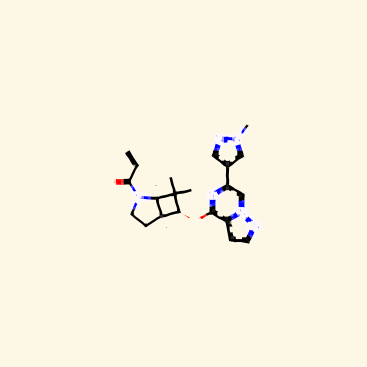 C=CC(=O)N1CC[C@@H]2[C@H](Oc3nc(-c4cnn(C)c4)cn4nccc34)C(C)(C)[C@@H]21